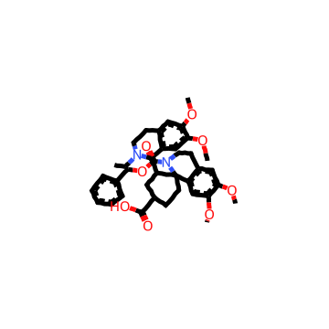 CCN1CCc2cc(OC)c(OC)cc2C1C1CC(C(=O)O)CCC12c1cc(OC)c(OC)cc1CCN2C(=O)OCc1ccccc1